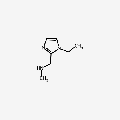 CCn1ccnc1CNC